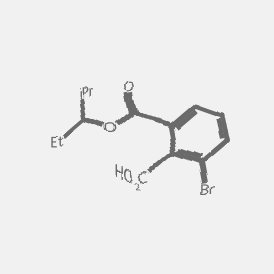 CCC(OC(=O)c1cccc(Br)c1C(=O)O)C(C)C